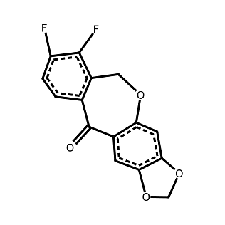 O=C1c2cc3c(cc2OCc2c1ccc(F)c2F)OCO3